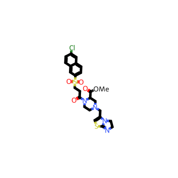 COC(=O)C1CN(CC2=CSC3=NCCN23)CCN1C(=O)CCS(=O)(=O)c1ccc2cc(Cl)ccc2c1